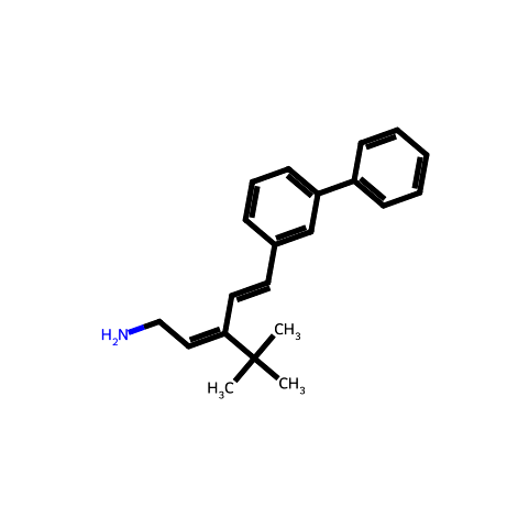 CC(C)(C)C(/C=C/c1cccc(-c2ccccc2)c1)=C/CN